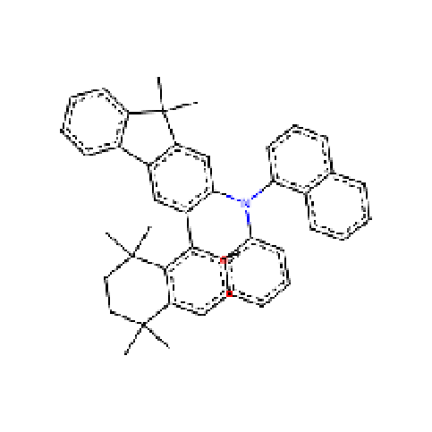 Cc1ccc2c(c1-c1cc3c(cc1N(c1ccccc1)c1cccc4ccccc14)C(C)(C)c1ccccc1-3)C(C)(C)CCC2(C)C